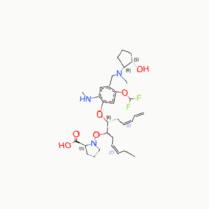 C=C/C=C\C[C@@H](Oc1cc(OC(F)F)c(CN(C)[C@@H]2CCC[C@@H]2O)cc1NC)C(C/C=C\CC)ON1CCC[C@H]1C(=O)O